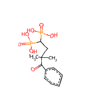 CC(C)(CC(P(=O)(O)O)P(=O)(O)O)C(=O)c1ccccc1